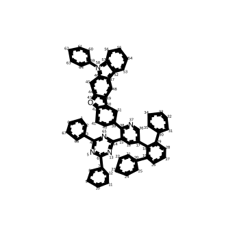 c1ccc(-c2nc(-c3ccccc3)nc(-c3cc(-c4c(-c5ccccc5)cccc4-c4ccccc4)cnc3-c3ccc4oc5cc6c(cc5c4c3)c3ccccc3n6-c3ccccc3)n2)cc1